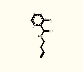 C=CCCNC(=O)c1ncccc1Br